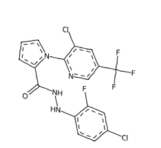 O=C(NNc1ccc(Cl)cc1F)c1cccn1-c1ncc(C(F)(F)F)cc1Cl